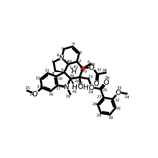 CC[C@]12C=CCN3CC[C@@]4(c5ccc(OC)cc5N(C)[C@H]4C(O)(COC(=O)c4ccccc4OC)[C@@H]1OC(C)=O)[C@@H]32